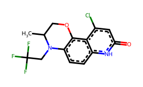 CC1COc2c(ccc3[nH]c(=O)cc(Cl)c23)N1CC(F)(F)F